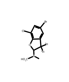 [2H]C1([2H])c2cc(Br)cc(Cl)c2OC1N(C)C(=O)O